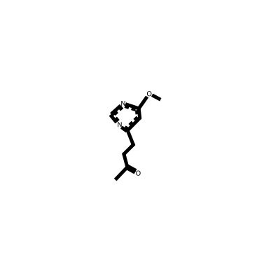 COc1cc(CCC(C)=O)ncn1